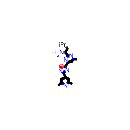 Cc1cc(-c2noc(-c3cc(C)nc(C(N)CC(C)C)n3)n2)cc(C)n1